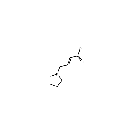 [O]C(=O)/C=C/CN1CCCC1